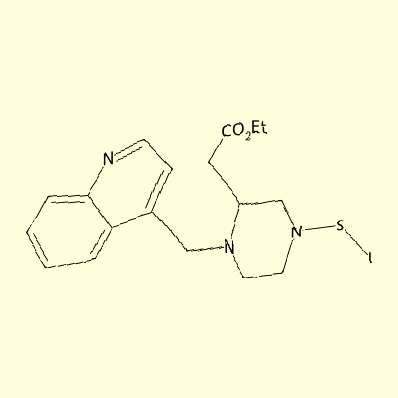 CCOC(=O)CC1CN(SI)CCN1Cc1ccnc2ccccc12